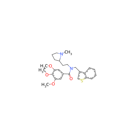 COc1cc(C(=O)N(CCC2CCCN2C)Cc2csc3ccccc23)cc(OC)c1OC